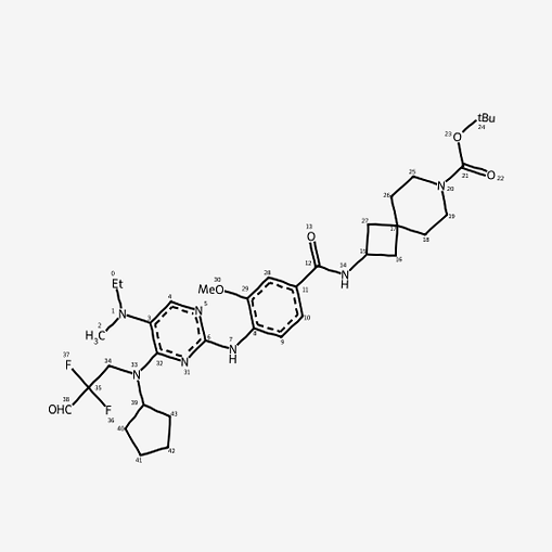 CCN(C)c1cnc(Nc2ccc(C(=O)NC3CC4(CCN(C(=O)OC(C)(C)C)CC4)C3)cc2OC)nc1N(CC(F)(F)C=O)C1CCCC1